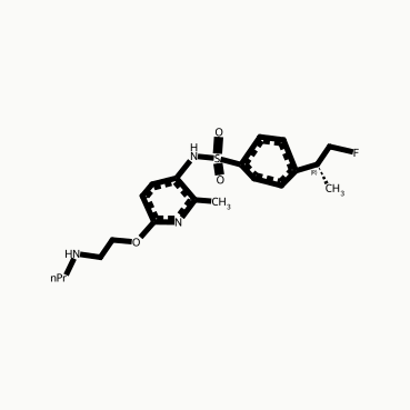 CCCNCCOc1ccc(NS(=O)(=O)c2ccc([C@@H](C)CF)cc2)c(C)n1